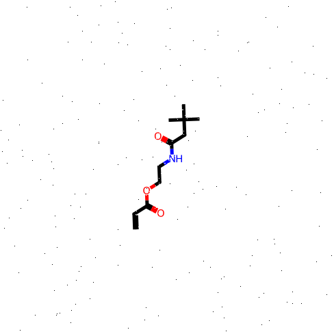 C=CC(=O)OCCNC(=O)CC(C)(C)C